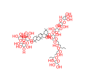 CC[C@H](C)[C@H](C[C@H](O)CC(=O)O[C@@H]1[C@H](O)[C@@H](O[C@@H]2O[C@@H](C)[C@H](O[C@@H]3OC[C@@H](O)[C@H](O[C@@H]4CC[C@](O)(CO)[C@H]4O)[C@H]3O)[C@@H](O)[C@H]2O)[C@H](OC(=O)[C@]23CCC(C)(C)CC2C2=CCC4[C@@]5(C)CC[C@H](O[C@@H]6OC(C(=O)O)[C@@H](O)[C@H](O[C@@H]7OC[C@@H](O)[C@H](O)[C@H]7O)[C@H]6O[C@@H]6O[C@H](CO)[C@H](O)[C@H](O)[C@H]6O)[C@@](C)(C=O)C5CC[C@@]4(C)[C@]2(C)C[C@H]3O)O[C@@H]1C)OC(=O)C[C@@H](O)C[C@H](O[C@@H]1O[C@@H](CO)[C@H](O)[C@H]1O)[C@@H](C)CC